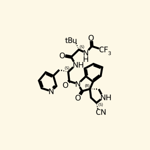 CC(C)(C)[C@H](NC(=O)C(F)(F)F)C(=O)N[C@@H](Cc1cccnc1)C(=O)N1C(=O)[C@@]2(CN[C@H](C#N)C2)c2ccccc21